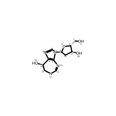 OC[C@H]1O[C@H](n2cnc3c2N=C[N]C[C@H]3O)C[C@@H]1O